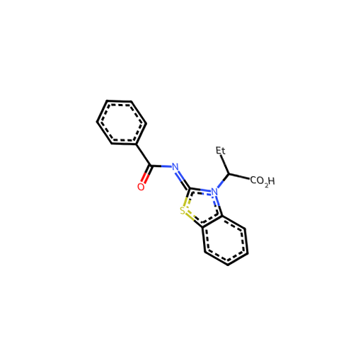 CCC(C(=O)O)n1/c(=N/C(=O)c2ccccc2)sc2ccccc21